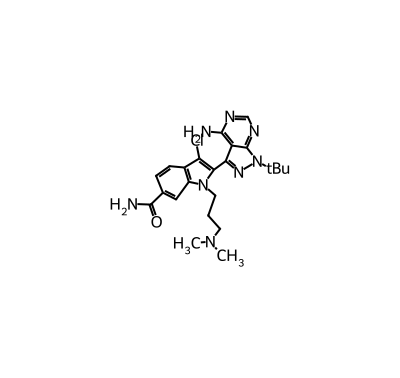 CN(C)CCCn1c(-c2nn(C(C)(C)C)c3ncnc(N)c23)c(Cl)c2ccc(C(N)=O)cc21